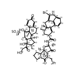 CC(C)C[C@H]1C(=O)N2CCC[C@H]2[C@]2(O)O[C@](NC(=O)[C@@H]3C=C4c5cccc6[nH]c(Br)c(c56)C[C@H]4N(C)C3)(C(C)C)C(=O)N12.CS(=O)(=O)O.C[C@@H]1C[C@H]2[C@@H]3CCC4=CC(=O)C=C[C@]4(C)[C@@]3(F)[C@@H](O)C[C@]2(C)[C@@]1(O)C(=O)CO